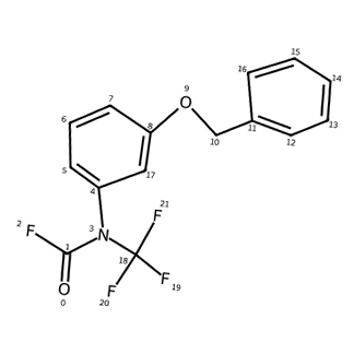 O=C(F)N(c1cccc(OCc2ccccc2)c1)C(F)(F)F